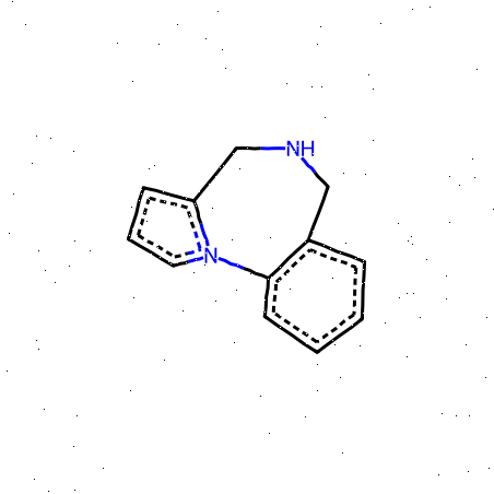 c1ccc2c(c1)CNCc1cccn1-2